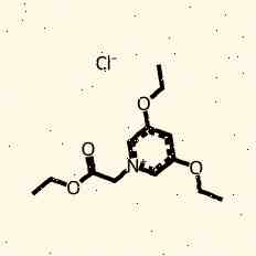 CCOC(=O)C[n+]1cc(OCC)cc(OCC)c1.[Cl-]